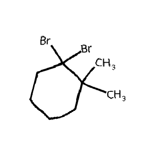 CC1(C)CCCCC1(Br)Br